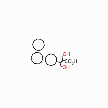 C1CCCCCCCCC1.C1CCCCCCCCC1.O=C(O)C(CO)=C(CO)C1CCCCCCCCC1